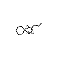 CCCC(=O)OC1(Br)CCCCC1